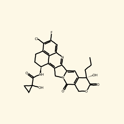 CCC[C@@]1(O)C(=O)OCc2c1cc1n(c2=O)Cc2c-1nc1cc(F)c(Cl)c3c1c2[C@@H](NC(=O)C1(O)CC1)CC3